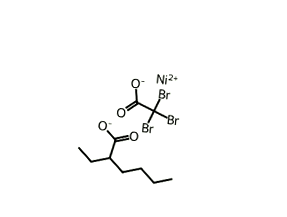 CCCCC(CC)C(=O)[O-].O=C([O-])C(Br)(Br)Br.[Ni+2]